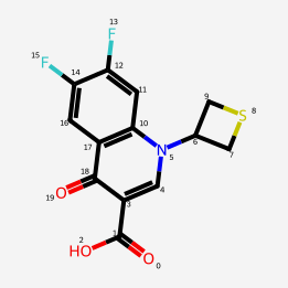 O=C(O)c1cn(C2CSC2)c2cc(F)c(F)cc2c1=O